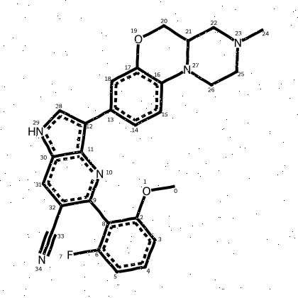 COc1cccc(F)c1-c1nc2c(-c3ccc4c(c3)OCC3CN(C)CCN43)c[nH]c2cc1C#N